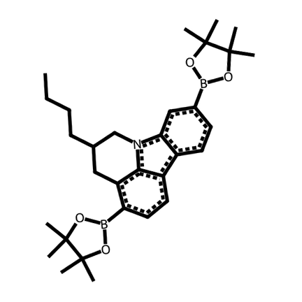 CCCCC1Cc2c(B3OC(C)(C)C(C)(C)O3)ccc3c4ccc(B5OC(C)(C)C(C)(C)O5)cc4n(c23)C1